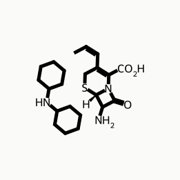 C/C=C\C1=C(C(=O)O)N2C(=O)C(N)[C@@H]2SC1.C1CCC(NC2CCCCC2)CC1